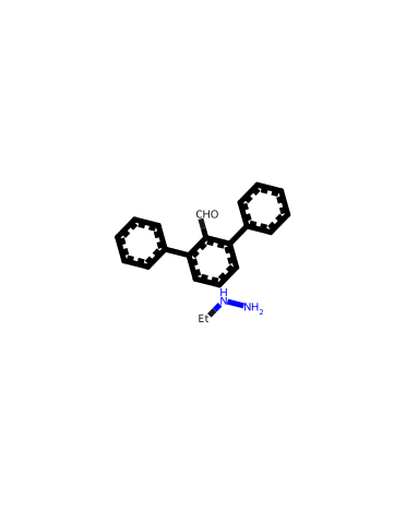 CCNN.O=Cc1c(-c2ccccc2)cccc1-c1ccccc1